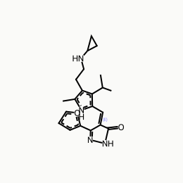 Cc1[nH]c(/C=C2/C(=O)NN=C2c2ccco2)c(C(C)C)c1CCNC1CC1